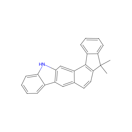 CC1(C)c2ccccc2-c2c1ccc1cc3c(cc21)[nH]c1ccccc13